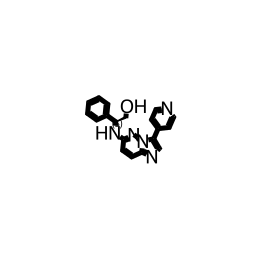 OC[C@@H](Nc1ccc2ncc(-c3ccncc3)n2n1)c1ccccc1